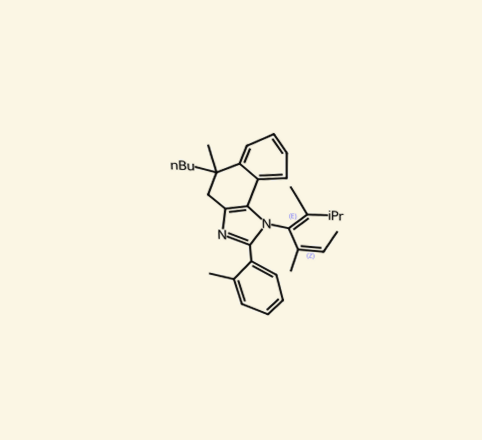 C/C=C(C)\C(=C(\C)C(C)C)n1c(-c2ccccc2C)nc2c1-c1ccccc1C(C)(CCCC)C2